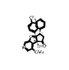 COc1cncc2c1[C@]1(O)C(=O)C[C@@H](c3ccccc3)[C@]1(c1ccc(C(F)(F)F)cc1)O2